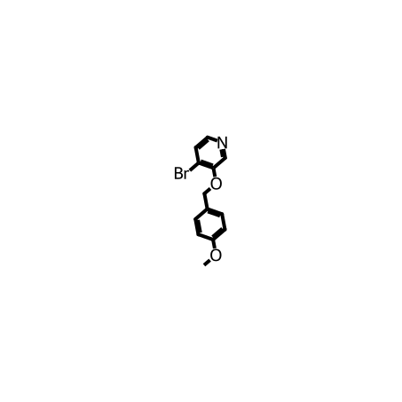 COc1ccc(COc2cnccc2Br)cc1